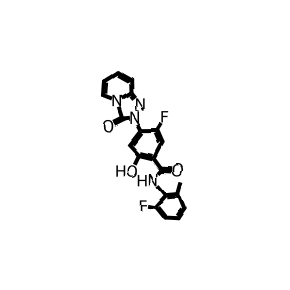 Cc1cccc(F)c1NC(=O)c1cc(F)c(-n2nc3ccccn3c2=O)cc1O